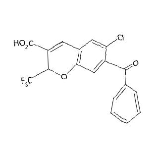 O=C(O)C1=Cc2cc(Cl)c(C(=O)c3ccccc3)cc2OC1C(F)(F)F